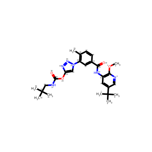 COc1ncc(C(C)(C)C)cc1NC(=O)c1ccc(C)c(-n2cc(OC(=O)NCC(C)(C)C)nn2)c1